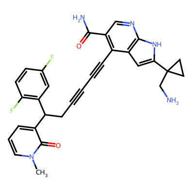 Cn1cccc(C(CC#CC#Cc2c(C(N)=O)cnc3[nH]c(C4(CN)CC4)cc23)c2cc(F)ccc2F)c1=O